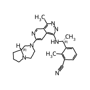 Cc1c(C#N)cccc1[C@@H](C)Nc1nnc(C)c2cnc(N3CCN4CCC[C@@H]4C3)cc12